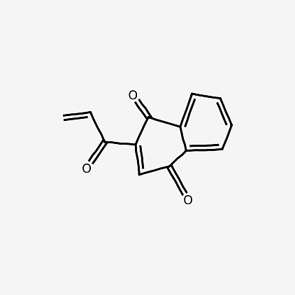 C=CC(=O)C1=CC(=O)c2ccccc2C1=O